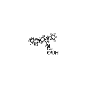 O=C(O)CON=Cc1cn(Cc2ccccc2)c2ccc(OCc3ccccc3Cl)cc12